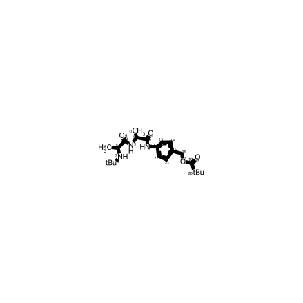 CC(NC(=O)C(C)NC(C)(C)C)C(=O)Nc1ccc(COC(=O)C(C)(C)C)cc1